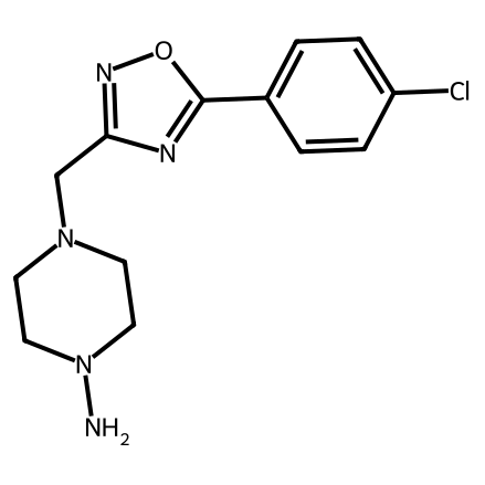 NN1CCN(Cc2noc(-c3ccc(Cl)cc3)n2)CC1